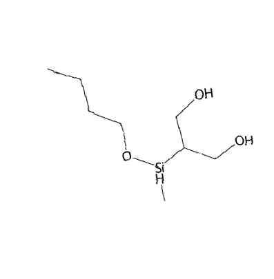 CCCCO[SiH](C)C(CO)CO